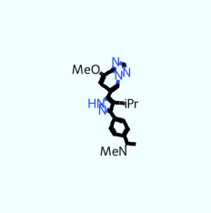 CN[C@@H](C)c1ccc(-c2n[nH]c(-c3cc(OC)c4ncnn4c3)c2C(C)C)cc1